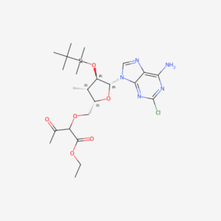 CCOC(=O)C(OC[C@H]1O[C@@H](n2cnc3c(N)nc(Cl)nc32)[C@H](O[Si](C)(C)C(C)(C)C)[C@H]1C)C(C)=O